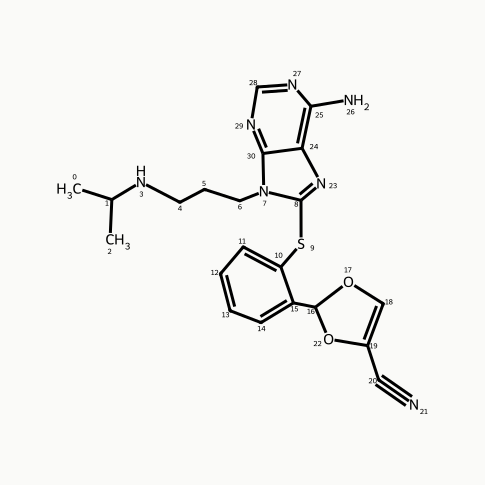 CC(C)NCCCn1c(Sc2ccccc2C2OC=C(C#N)O2)nc2c(N)ncnc21